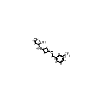 C=CC(O)NC1CC(OCc2cccc(C(F)(F)F)c2)C1